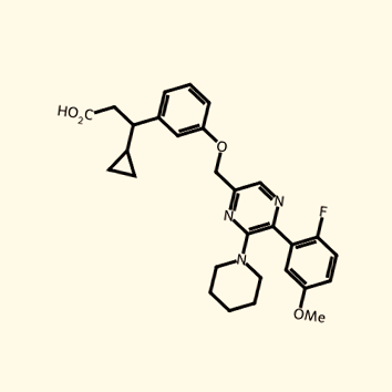 COc1ccc(F)c(-c2ncc(COc3cccc(C(CC(=O)O)C4CC4)c3)nc2N2CCCCC2)c1